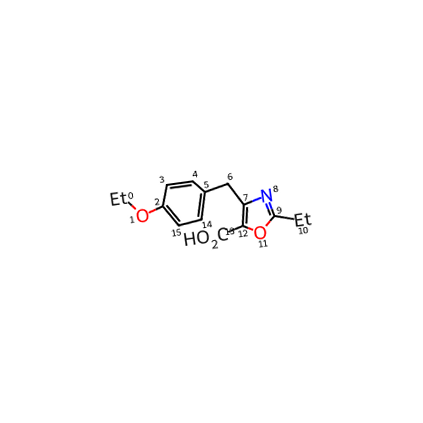 CCOc1ccc(Cc2nc(CC)oc2C(=O)O)cc1